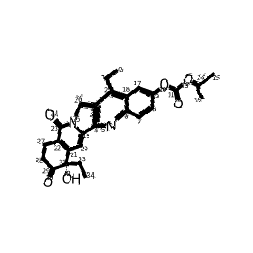 CCc1c2c(nc3ccc(OC(=O)OC(C)C)cc13)-c1cc3c(c(=O)n1C2)CCC(=O)[C@]3(O)CC